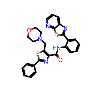 O=C(Nc1ccccc1-c1nc2cccnc2s1)c1nc(-c2ccccc2)sc1CN1CCOCC1